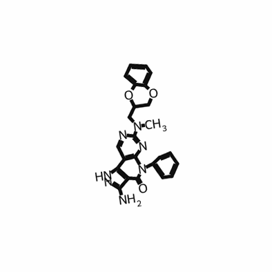 CN(CC1COc2ccccc2O1)c1ncc2c3[nH]nc(N)c3c(=O)n(-c3ccccc3)c2n1